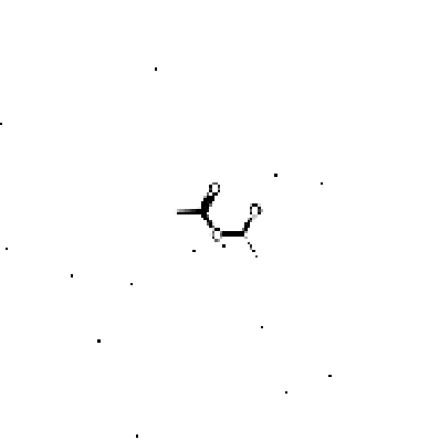 CC(=O)O[C@@H](C)[O]